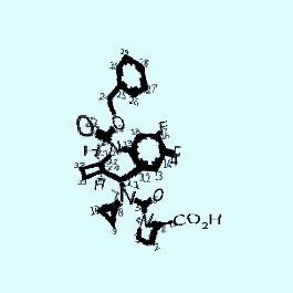 O=C(O)[C@H]1CCN1C(=O)N(C1CC1)[C@@H]1c2cc(F)c(F)cc2N(C(=O)OCc2ccccc2)[C@@H]2CC[C@@H]21